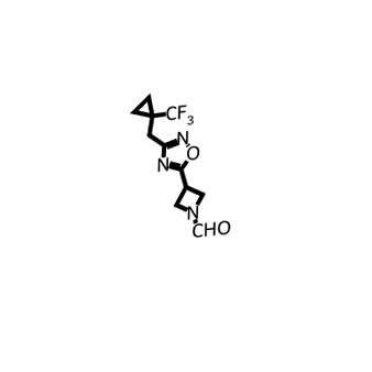 O=CN1CC(c2nc(CC3(C(F)(F)F)CC3)no2)C1